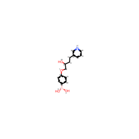 OB(O)c1ccc(OCC(O)CCc2cccnc2)cc1